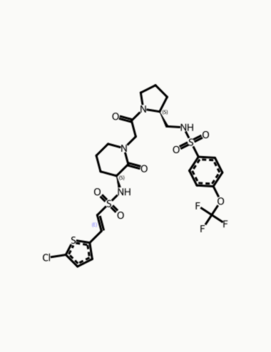 O=C1[C@@H](NS(=O)(=O)/C=C/c2ccc(Cl)s2)CCCN1CC(=O)N1CCC[C@H]1CNS(=O)(=O)c1ccc(OC(F)(F)F)cc1